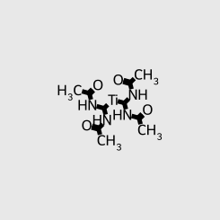 CC(=O)N[CH](NC(C)=O)[Ti][CH](NC(C)=O)NC(C)=O